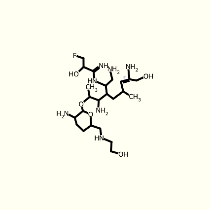 CC(/C=C(/N)CO)CC(C(CN)NC(=N)C(O)CF)C(N)C(C)OC1OC(CNCCO)CCC1N